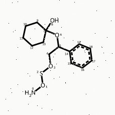 NOSOCC(OC1(O)CCCCC1)c1ccccc1